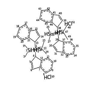 C[SiH](C)[Hf]([CH]1C=Cc2ccccc21)([CH]1C=Cc2ccccc21)[SiH](C)C.C[SiH](C)[Hf]([CH]1C=Cc2ccccc21)([CH]1C=Cc2ccccc21)[SiH](C)C.Cl.Cl